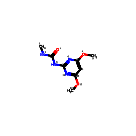 CNC(=O)Nc1nc(OC)cc(OC)n1